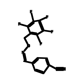 N#Cc1ccc(/[C]=N\OCc2c(F)c(F)c(F)c(F)c2F)cc1